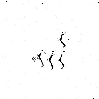 CC[O-].CC[O-].CC[O-].CC[O-].[Ru+4]